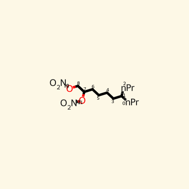 CCCC(CCC)CCCCC(CO[N+](=O)[O-])O[N+](=O)[O-]